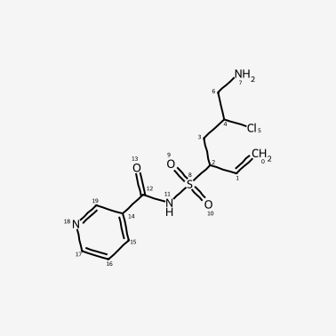 C=CC(CC(Cl)CN)S(=O)(=O)NC(=O)c1cccnc1